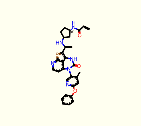 C=CC(=O)N[C@H]1CCC(NC(=C)c2sc3nccc4c3c2NC(=O)N4c2cnc(Oc3ccccc3)cc2C)C1